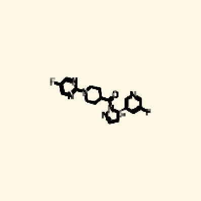 O=C(C1CCN(c2ncc(F)cn2)CC1)N1N=CC[C@H]1c1cncc(F)c1